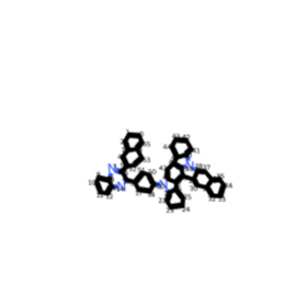 c1ccc2cc(-c3nc4ccccc4nc3-c3ccc(-n4c5ccccc5c5c6c7cc8ccccc8cc7n7c8ccccc8c(cc54)c67)cc3)ccc2c1